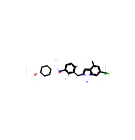 Cc1cc(C(F)(F)F)cc2c1cc(Cc1c(Cl)ccc(C(=O)N[C@H]3CC[C@H](C(=O)O)CC3)c1Cl)n2C